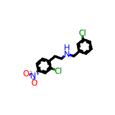 O=[N+]([O-])c1ccc(CCNCc2cccc(Cl)c2)c(Cl)c1